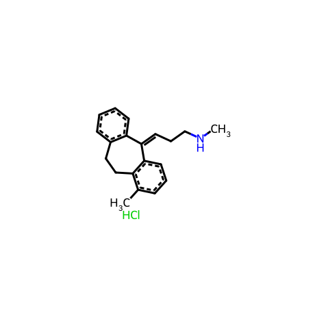 CNCCC=C1c2ccccc2CCc2c(C)cccc21.Cl